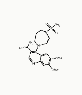 COc1cc2ncc(C(N)=O)c(N3CCCN(S(N)(=O)=O)CC3)c2cc1OC